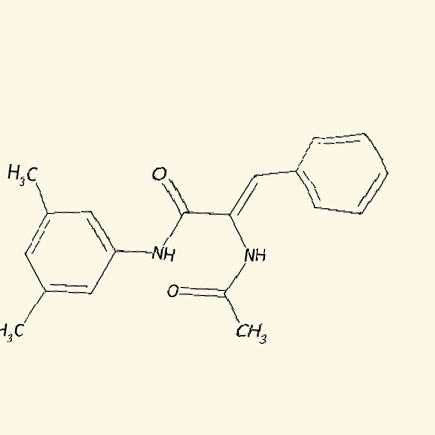 CC(=O)N/C(=C\c1ccccc1)C(=O)Nc1cc(C)cc(C)c1